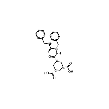 O=C(O)[C@@H]1C[C@H](C(=O)O)C[C@H](C(=O)N[C@@H](Cc2ccccc2)C(=O)NCc2ccccc2)C1